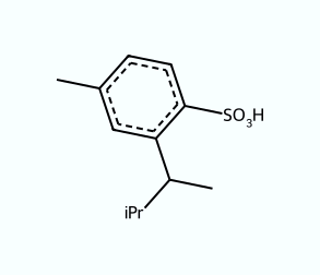 Cc1ccc(S(=O)(=O)O)c(C(C)C(C)C)c1